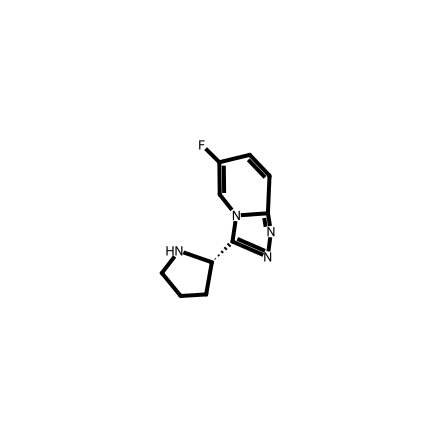 Fc1ccc2nnc([C@@H]3CCCN3)n2c1